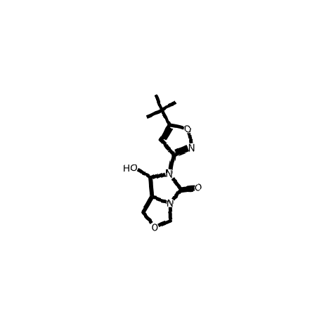 CC(C)(C)c1cc(N2C(=O)N3COCC3C2O)no1